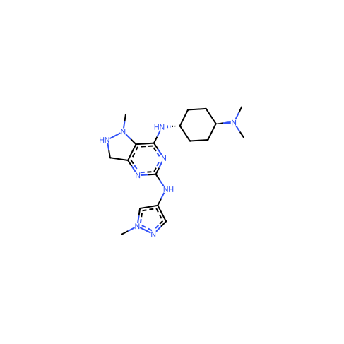 CN1NCc2nc(Nc3cnn(C)c3)nc(N[C@H]3CC[C@H](N(C)C)CC3)c21